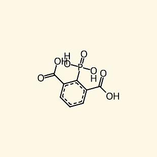 O=C(O)c1cccc(C(=O)O)c1P(=O)(O)O